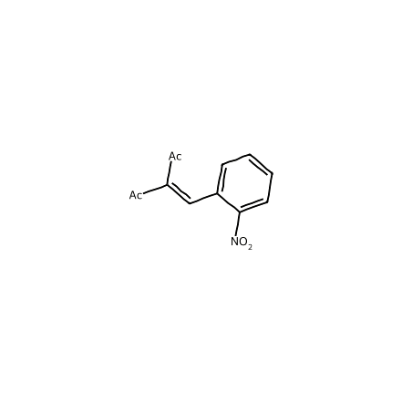 CC(=O)C(=Cc1ccccc1[N+](=O)[O-])C(C)=O